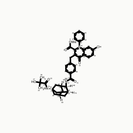 COC(=O)c1c(Cc2ccc(C(=O)N[C@@H]3[C@@H]4C[C@@H]5C[C@H]3C[C@@](NC(=O)C(C)(C)O)(C5)C4)cc2)c(=O)c2ccc(Cl)cc2n1-c1ccccc1